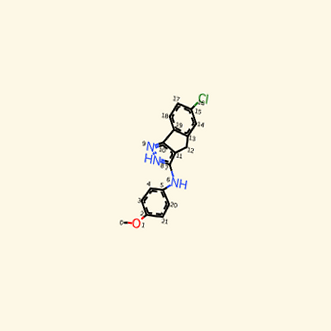 COc1ccc(Nc2[nH]nc3c2Cc2cc(Cl)ccc2-3)cc1